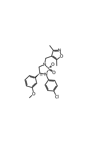 COc1cccc([C@H]2CN(Cc3c(C)noc3C)S(=O)(=O)N2c2ccc(Cl)cc2)c1